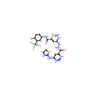 Cc1ccc(NC(=O)C2=CC(CNC(=O)c3cc(Nc4nccs4)ncn3)=NNO2)cc1C(F)(F)F